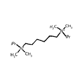 CC(C)[N+](C)(C)CCCCCC[N+](C)(C)C(C)C